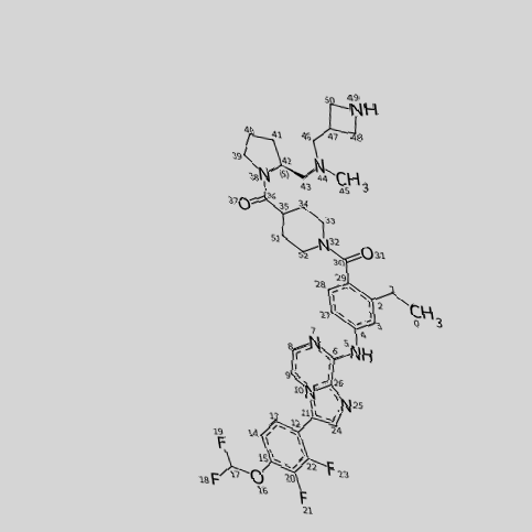 CCc1cc(Nc2nccn3c(-c4ccc(OC(F)F)c(F)c4F)cnc23)ccc1C(=O)N1CCC(C(=O)N2CCC[C@H]2CN(C)CC2CNC2)CC1